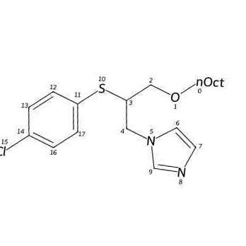 CCCCCCCCOCC(Cn1ccnc1)Sc1ccc(Cl)cc1